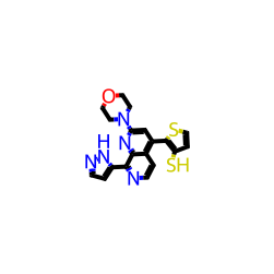 Sc1ccsc1-c1cc(N2CCOCC2)nc2c(-c3ccn[nH]3)nccc12